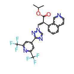 CC(C)OC(=O)/C(=C/n1cnc(-c2cc(C(F)(F)F)nc(C(F)(F)F)c2)n1)c1cccc2ccncc12